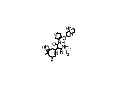 CCCC12CC(C(C(=O)NC3=C(O[C@H]4CC5NCCN5C4)CC=NC3)C(N)N)NCC(F)CC1(C)C2